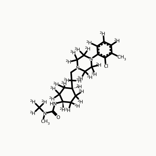 [2H]c1c([2H])c(C)c(Cl)c(N2C([2H])([2H])C([2H])([2H])N(CC([2H])([2H])[C@]3([2H])C([2H])([2H])C([2H])([2H])[C@@]([2H])(NC(=O)N(C)C([2H])([2H])[2H])C([2H])([2H])C3([2H])[2H])C([2H])([2H])C2([2H])[2H])c1[2H]